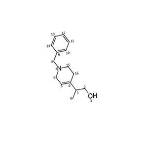 CC(CO)C1=CCN(Cc2ccccc2)CC1